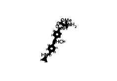 COC(=O)[C@@H](NC(=O)c1ccc(C#Cc2ccc(CNC3CC3)cc2)cc1)C(C)(C)N.Cl